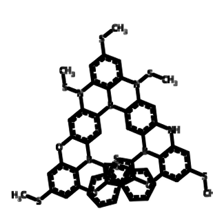 CSc1cc2c3c(c1)Oc1c(sc4ccccc14)B3c1cc3c(cc1N2)N(SC)c1cc(SC)cc2c1B3c1cc3c(cc1N2SC)Oc1cc(SC)cc2c1B3c1sc3ccccc3c1O2